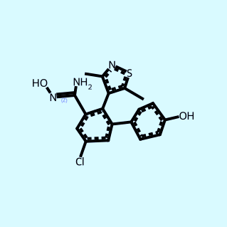 Cc1nsc(C)c1-c1c(/C(N)=N/O)cc(Cl)cc1-c1ccc(O)cc1